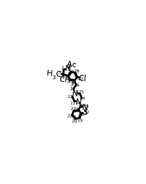 CC(=O)N1CC(C)(C)c2cc(CCN3CCN(c4nsc5ccccc45)CC3)c(Cl)cc21